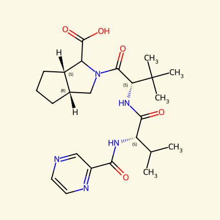 CC(C)[C@H](NC(=O)c1cnccn1)C(=O)N[C@H](C(=O)N1C[C@@H]2CCC[C@@H]2C1C(=O)O)C(C)(C)C